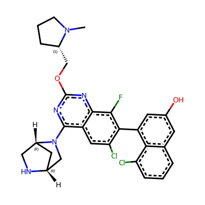 CN1CCC[C@H]1COc1nc(N2C[C@H]3C[C@@H]2CN3)c2cc(Cl)c(-c3cc(O)cc4cccc(Cl)c34)c(F)c2n1